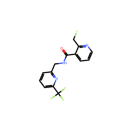 O=C(NCc1cccc(C(F)(F)F)n1)c1cccnc1CF